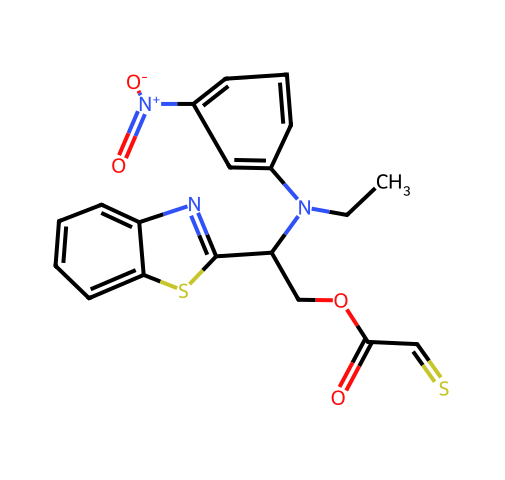 CCN(c1cccc([N+](=O)[O-])c1)C(COC(=O)C=S)c1nc2ccccc2s1